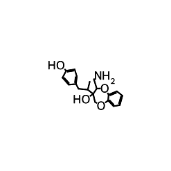 CC(Cc1ccc(O)cc1)C1(O)COc2ccccc2OC1CN